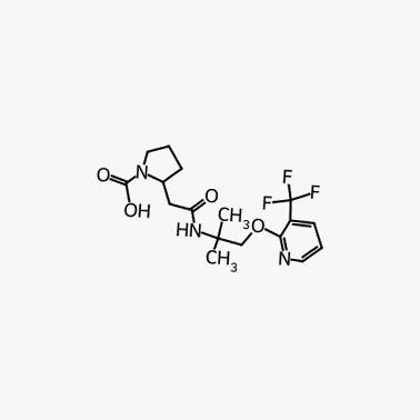 CC(C)(COc1ncccc1C(F)(F)F)NC(=O)CC1CCCN1C(=O)O